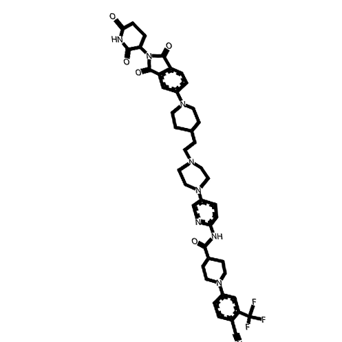 N#Cc1ccc(N2CCC(C(=O)Nc3ccc(N4CCN(CCC5CCN(c6ccc7c(c6)C(=O)N(C6CCC(=O)NC6=O)C7=O)CC5)CC4)cn3)CC2)cc1C(F)(F)F